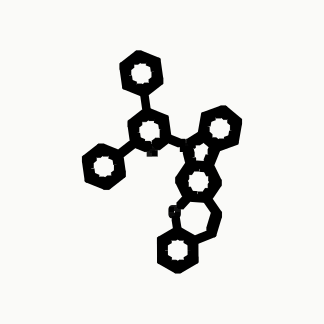 C1=Cc2cc3c4ccccc4n(-c4cc(-c5ccccc5)cc(-c5ccccc5)n4)c3cc2Oc2ccccc21